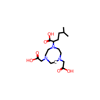 CC(C)CCC(C(=O)O)N1CCN(CC(=O)O)CCN(CC(=O)O)CC1